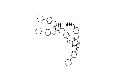 CCCCCCc1ccc(Cc2nc(Oc3ccc(Cc4nc(Cc5ccc(C6CCCCC6)cc5)nc(Oc5ccc(C6CCCCC6)cc5)n4)cc3)nc(Oc3ccc(C4CCCCC4)cc3)n2)cc1